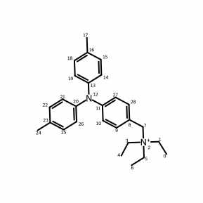 CC[N+](CC)(CC)Cc1ccc(N(c2ccc(C)cc2)c2ccc(C)cc2)cc1